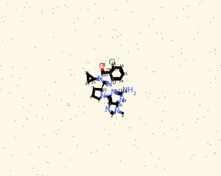 Cn1cnc2c(N3CCC[C@H]3c3nc4cccc(Cl)c4c(=O)n3C3CC3)nc(N)nc21